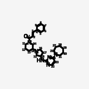 O=C(C=Cc1ccccc1)N1CCCC(N2CCC(Nc3nccc(N4CCCCCC4)n3)C2)C1